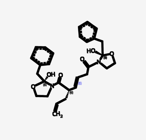 C=CC[C@@H](/C=C/CC(=O)N1CCO[C@@]1(O)Cc1ccccc1)C(=O)N1CCO[C@@]1(O)Cc1ccccc1